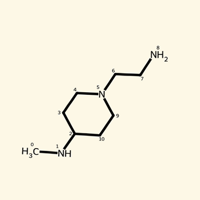 CNC1CCN(CCN)CC1